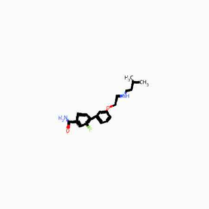 CC(C)CCNCCOc1cccc(-c2ccc(C(N)=O)cc2F)c1